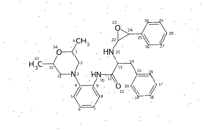 CC1CN(c2ccccc2NC(=O)C(Cc2ccccc2)NC2OC2c2ccccc2)CC(C)O1